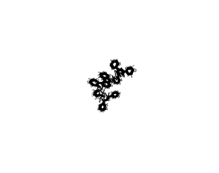 C1=CCC(c2cc(C3=CCCC=C3)nc(C3=NC(n4c5ccccc5c5c6c(ccc54)N(c4cccc(-c5nc(-c7ccccc7)cc(-c7ccccc7)n5)n4)C4C=CC=CC64)=CCC3)n2)C=C1